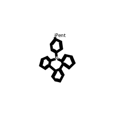 CCCC(C)c1ccc(N2c3ccccc3-c3ccccc3-c3ccccc32)cc1